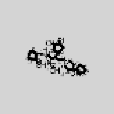 CON=C(CNCc1ccccc1OC)C(CCN1CCC(O)(c2ccccc2)CC1)c1ccc(Cl)c(Cl)c1